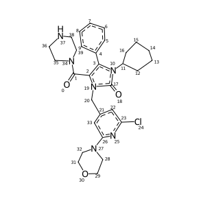 O=C(c1c(-c2ccccc2)n(C2CCCCC2)c(=O)n1Cc1cc(Cl)nc(N2CCOCC2)c1)N1CCNCC1